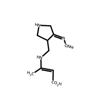 CON=C1CNCC1CNC(C)=CC(=O)O